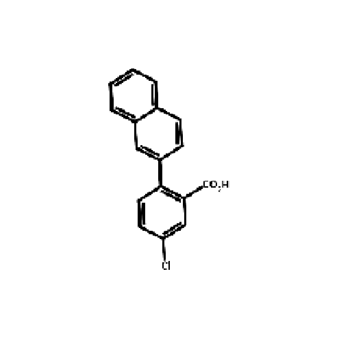 O=C(O)c1cc(Cl)ccc1-c1ccc2ccccc2c1